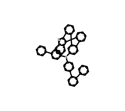 c1ccc(-c2ccc(N(c3ccc(-c4ccccc4-c4ccccc4)cc3)c3ccc4c(c3)C3(c5ccccc5-4)c4ccccc4-c4sc5ccccc5c43)cc2)cc1